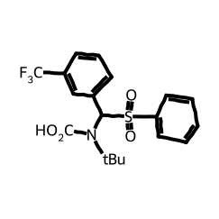 CC(C)(C)N(C(=O)O)C(c1cccc(C(F)(F)F)c1)S(=O)(=O)c1ccccc1